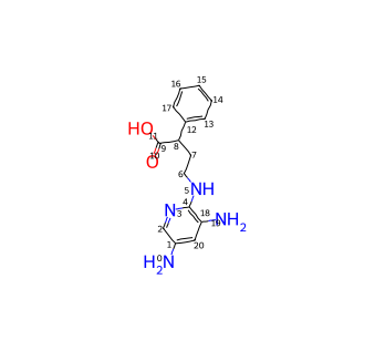 Nc1cnc(NCCC(C(=O)O)c2ccccc2)c(N)c1